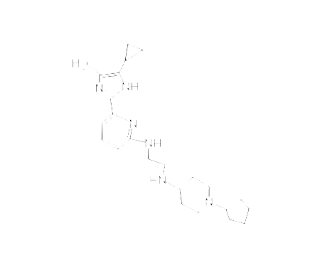 Cc1nc(-c2cccc(NCCNC3CCN(C4CCCC4)CC3)n2)[nH]c1C1CC1